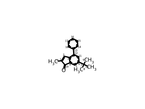 CC1=Cc2c(cc(C(C)(C)C)cc2-c2ccccc2)C1=O